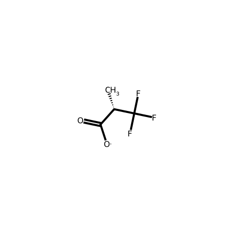 C[C@@H](C([O])=O)C(F)(F)F